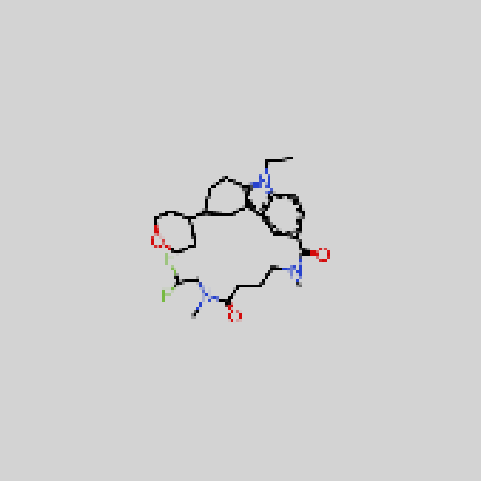 CCn1c2c(c3cc(C(=O)N(C)CCCC(=O)N(C)CC(F)F)ccc31)CC(C1CCOCC1)CC2